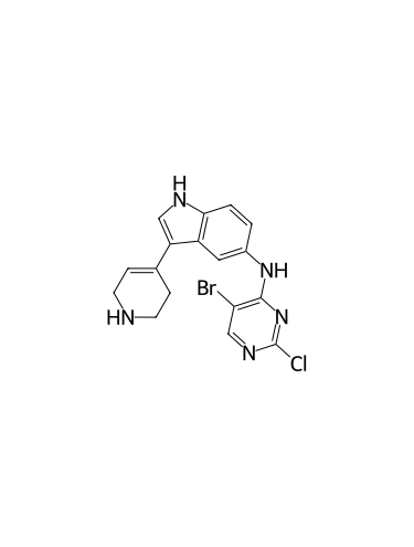 Clc1ncc(Br)c(Nc2ccc3[nH]cc(C4=CCNCC4)c3c2)n1